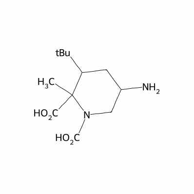 CC(C)(C)C1CC(N)CN(C(=O)O)C1(C)C(=O)O